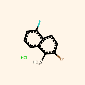 Cl.O=S(=O)(O)c1c(Br)ccc2c(F)cccc12